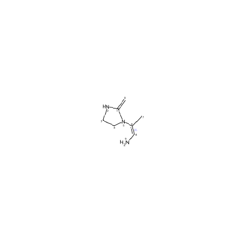 C=C1NCCN1/C(C)=C\N